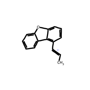 C/C=C/c1cccc2oc3ccccc3c12